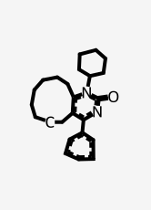 O=c1nc(-c2ccccc2)c2c(n1C1CCCCC1)CCCCCCCC2